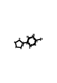 Ic1cnc(N2CCCC2)cn1